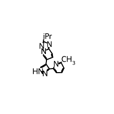 Cc1cccc(-c2n[nH]cc2-c2ccc3nc(C(C)C)nn3c2)n1